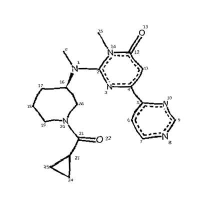 CN(c1nc(-c2ccncn2)cc(=O)n1C)[C@@H]1CCCN(C(=O)C2CC2)C1